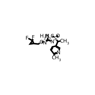 Cc1ccc(C(C)S(C)(=O)=N/C(N)=N/OCC2CC2(F)F)cn1